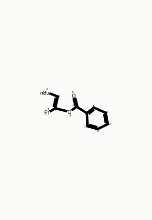 CCCCC=C(CC)OC(=O)c1ccccc1